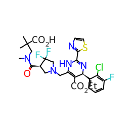 CCOC(=O)C1=C(CN2C[C@@H](C(=O)N(C)CC(C)(C)C(=O)O)C(F)(F)C2)NC(c2nccs2)=N[C@H]1c1cccc(F)c1Cl